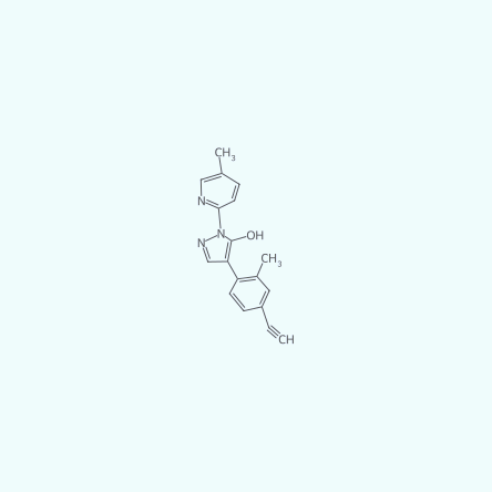 C#Cc1ccc(-c2cnn(-c3ccc(C)cn3)c2O)c(C)c1